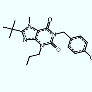 CCCn1c(=O)n(Cc2ccc(Cl)cc2)c(=O)c2c1nc(C(C)(C)C)n2C